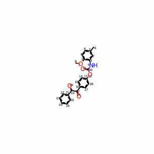 COc1ccc(C)cc1NC(=O)Oc1ccc(C(=O)C(=O)c2ccccc2)cc1